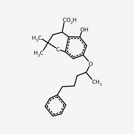 CC(CCCc1ccccc1)Oc1cc(O)c2c(c1)CC(C)(C)CC2C(=O)O